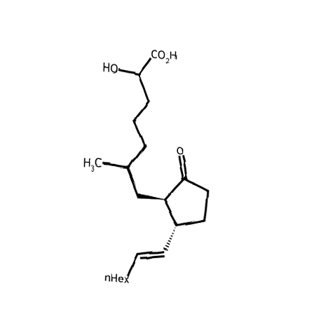 CCCCCCC=C[C@H]1CCC(=O)[C@@H]1CC(C)CCCC(O)C(=O)O